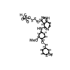 COc1cc(Nc2nccc3[nH]nc(OCCOS(C)(=O)=O)c23)ccc1OCc1cccc(F)c1